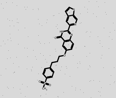 CS(=O)(=O)c1ccc(CCCOc2ccc3nc(-c4cc5ccsc5cn4)[nH]c(=O)c3c2)cc1